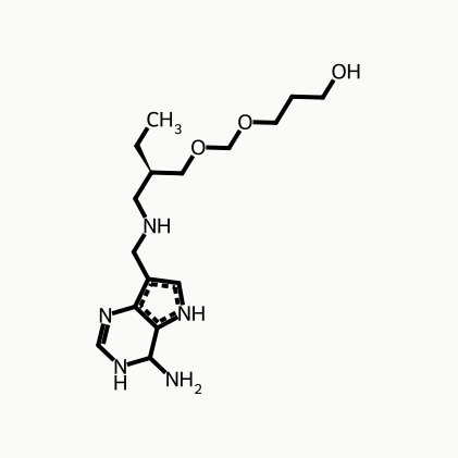 CC[C@H](CNCc1c[nH]c2c1N=CNC2N)COCOCCCO